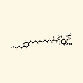 COCCCc1ccc(CCCCOCCCCCNCC(O)c2ccc(O)c(NC=O)c2)cc1